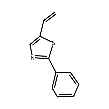 C=Cc1cnc(-c2ccccc2)s1